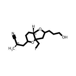 C[C@@H](C#N)CC1CC[C@@H]2OC(CCCO)CC2(CI)O1